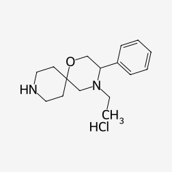 CCN1CC2(CCNCC2)OCC1c1ccccc1.Cl